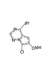 COc1cc2c(C(C)C)ncnn2c1Cl